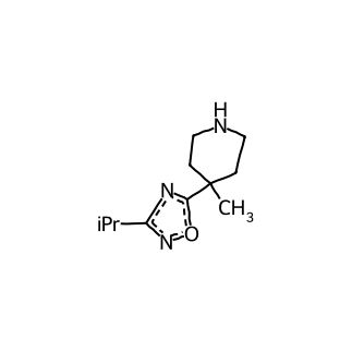 CC(C)c1noc(C2(C)CCNCC2)n1